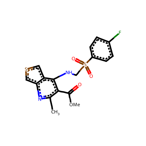 COC(=O)c1c(C)nc2cscc2c1NCS(=O)(=O)c1ccc(F)cc1